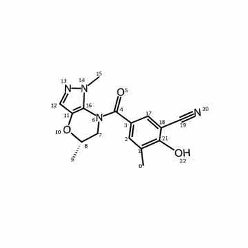 Cc1cc(C(=O)N2C[C@H](C)Oc3cnn(C)c32)cc(C#N)c1O